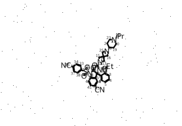 CCOc1ccccc1[C@@]1(NC(=O)N2CC3(C2)CN(C2CCN(C(C)C)CC2)C3)C(=O)N(S(=O)(=O)c2ccc(C#N)cc2)c2ccc(C#N)cc21